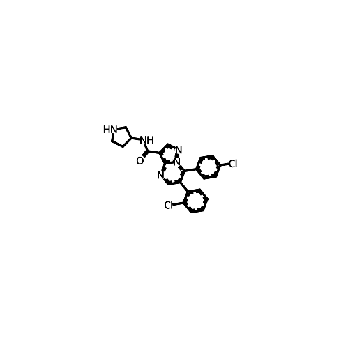 O=C(NC1CCNC1)c1cnn2c(-c3ccc(Cl)cc3)c(-c3ccccc3Cl)cnc12